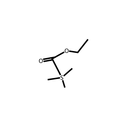 CCOC(=O)S(C)(C)C